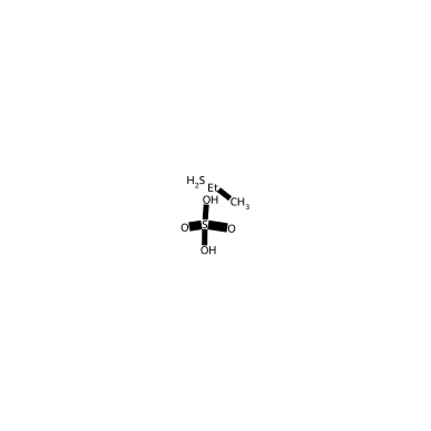 CCC.O=S(=O)(O)O.S